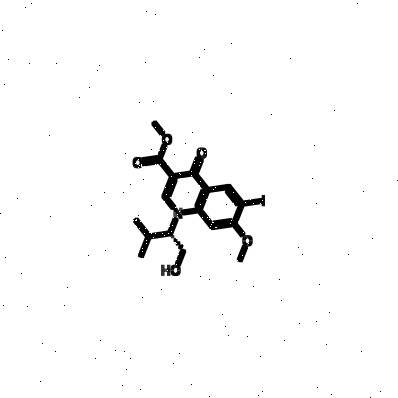 COC(=O)c1cn([C@H](CO)C(C)C)c2cc(OC)c(I)cc2c1=O